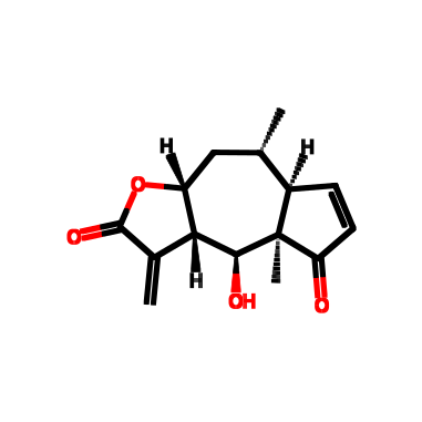 C=C1C(=O)O[C@@H]2C[C@H](C)[C@H]3C=CC(=O)[C@@]3(C)[C@@H](O)[C@H]12